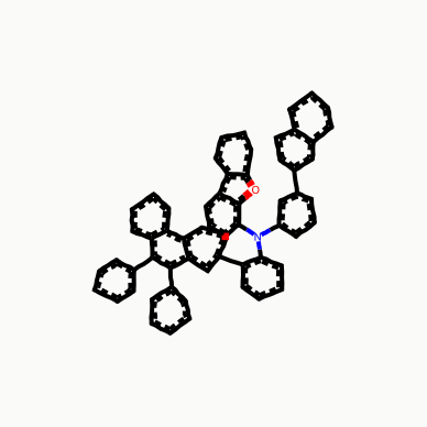 c1ccc(-c2c(-c3ccccc3)c3cc(-c4ccccc4N(c4cccc(-c5ccc6ccccc6c5)c4)c4cccc5c4oc4ccccc45)ccc3c3ccccc23)cc1